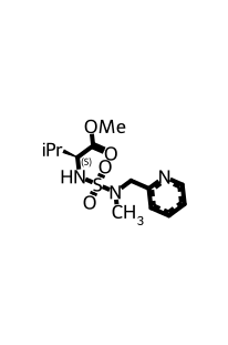 COC(=O)[C@@H](NS(=O)(=O)N(C)Cc1ccccn1)C(C)C